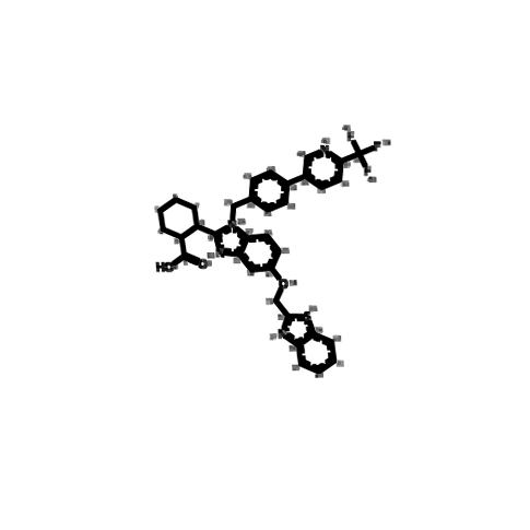 O=C(O)C1CCCCC1c1nc2cc(OCc3nc4ccccc4s3)ccc2n1Cc1ccc(-c2ccc(C(F)(F)F)nc2)cc1